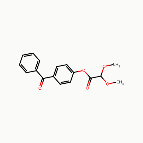 COC(OC)C(=O)Oc1ccc(C(=O)c2ccccc2)cc1